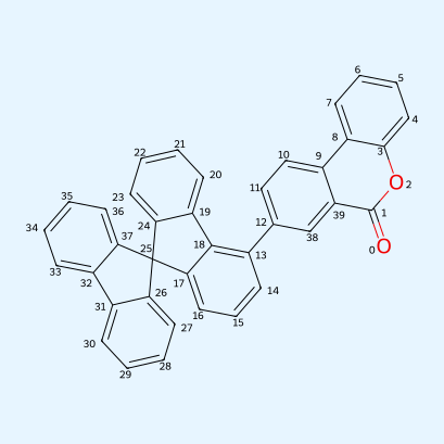 O=c1oc2ccccc2c2ccc(-c3cccc4c3-c3ccccc3C43c4ccccc4-c4ccccc43)cc12